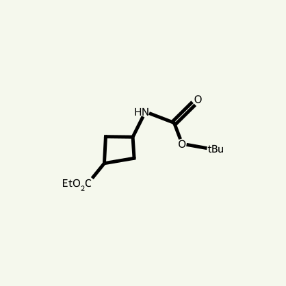 CCOC(=O)C1CC(NC(=O)OC(C)(C)C)C1